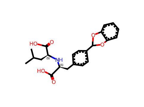 CC(C)C[C@H](N[C@@H](Cc1ccc(C2Oc3ccccc3O2)cc1)C(=O)O)C(=O)O